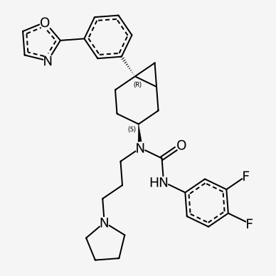 O=C(Nc1ccc(F)c(F)c1)N(CCCN1CCCC1)[C@H]1CC[C@@]2(c3cccc(-c4ncco4)c3)CC2C1